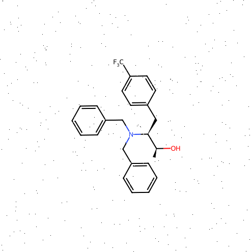 C[C@H](O)[C@H](Cc1ccc(C(F)(F)F)cc1)N(Cc1ccccc1)Cc1ccccc1